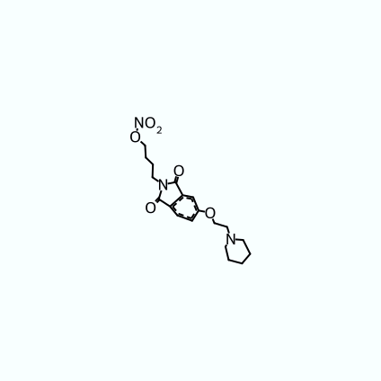 O=C1c2ccc(OCCN3CCCCC3)cc2C(=O)N1CCCCO[N+](=O)[O-]